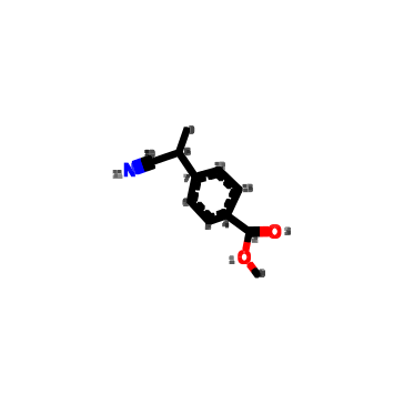 COC(=O)c1ccc(C(C)C#N)cc1